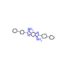 Nn1c(-c2ccc(-c3ccccc3)cc2)nc2cc3c(cc21)nc(-c1ccc(-c2ccccc2)cc1)n3N